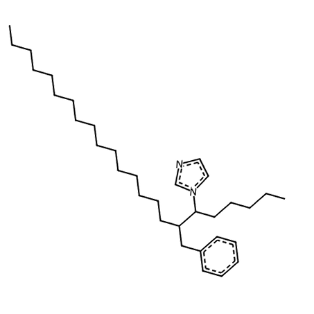 CCCCCCCCCCCCCCCCC(Cc1ccccc1)C(CCCCC)n1ccnc1